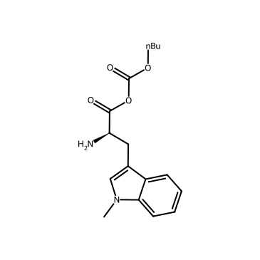 CCCCOC(=O)OC(=O)[C@H](N)Cc1cn(C)c2ccccc12